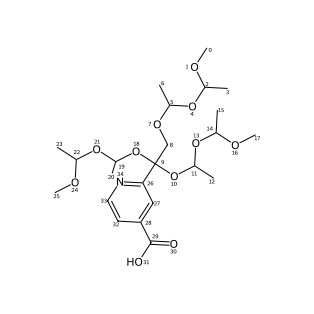 COC(C)OC(C)OCC(OC(C)OC(C)OC)(OC(C)OC(C)OC)c1cc(C(=O)O)ccn1